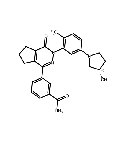 NC(=O)c1cccc(-c2nn(-c3cc(N4CC[C@H](O)C4)ccc3C(F)(F)F)c(=O)c3c2CCC3)c1